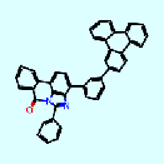 O=c1c2ccccc2c2ccc(-c3cccc(-c4ccc5c6ccccc6c6ccccc6c5c4)c3)c3nc(-c4ccccc4)n1c32